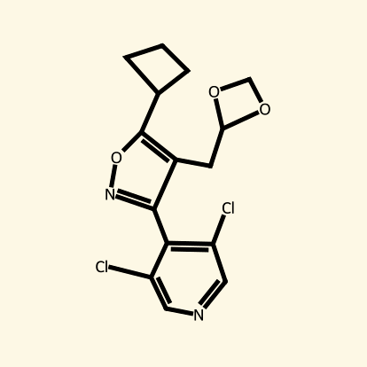 Clc1cncc(Cl)c1-c1noc(C2CCC2)c1CC1OCO1